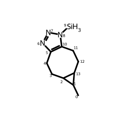 CC1C2CCc3nnn([SiH3])c3CCC12